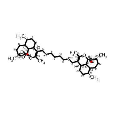 C[C@@H]1CC[C@H]2C(CSCCCCSCC3=C(C(F)(F)F)O[C@@H]4O[C@]5(C)CCC6[C@H](C)CC[C@@H]3[C@]64OO5)=C(C(F)(F)F)O[C@@H]3O[C@]4(C)CCC1[C@]32OO4